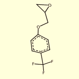 FC(F)(F)c1ccc(OCC2CO2)cc1